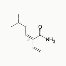 C=C/C(=C/CC(C)C)C(N)=O